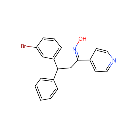 O/N=C(/CC(c1ccccc1)c1cccc(Br)c1)c1ccncc1